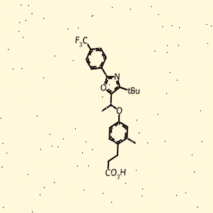 Cc1cc(OC(C)c2oc(-c3ccc(C(F)(F)F)cc3)nc2C(C)(C)C)ccc1CCC(=O)O